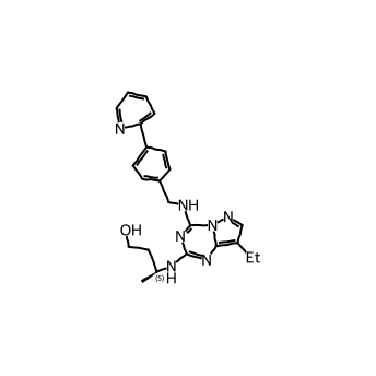 CCc1cnn2c(NCc3ccc(-c4ccccn4)cc3)nc(N[C@@H](C)CCO)nc12